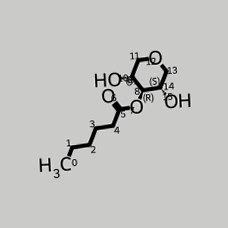 CCCCCC(=O)O[C@H]1[C@H](O)COC[C@@H]1O